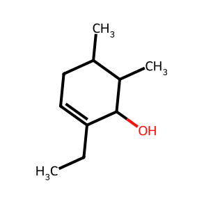 CCC1=CCC(C)C(C)C1O